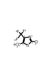 [CH2]c1sc(Cl)nc1C(F)(F)F